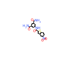 NC(=O)c1cc(NC(=O)c2cc3cc([N+](=O)[O-])ccc3s2)cc(C(N)=O)c1